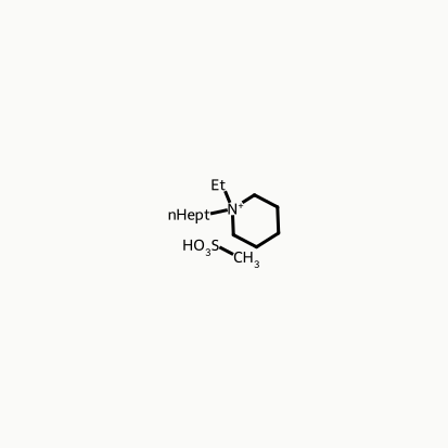 CCCCCCC[N+]1(CC)CCCCC1.CS(=O)(=O)O